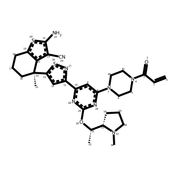 C=CC(=O)N1CCN(c2cc(-c3cc([C@@]4(C)CCCc5sc(N)c(C#N)c54)sn3)nc(O[C@@H](C)[C@@H]3CCCN3C)n2)CC1